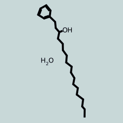 CCCCCCCCCCCCCCCC(O)CCc1ccccc1.O